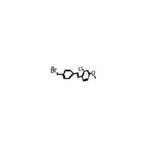 COc1ccc(/C=C/c2ccc(CBr)cc2)c(Cl)c1